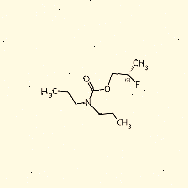 CCCN(CCC)C(=O)OC[C@H](C)F